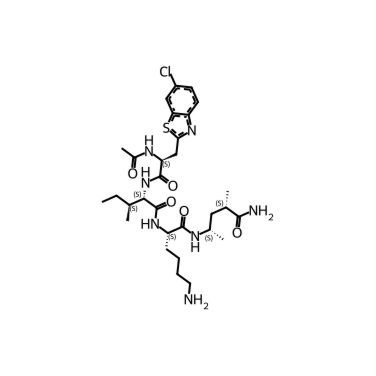 CC[C@H](C)[C@H](NC(=O)[C@H](Cc1nc2ccc(Cl)cc2s1)NC(C)=O)C(=O)N[C@@H](CCCCN)C(=O)N[C@@H](C)C[C@H](C)C(N)=O